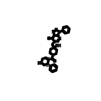 O=C([C@@H]1CCNC[C@H]1c1ccccc1)N1CCC(O)(Cn2cnc3c(nnn3-c3ccccc3)c2=O)CC1